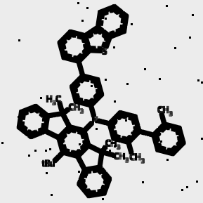 Cc1ccccc1-c1ccc(N(c2ccc(-c3cccc4c3sc3ccccc34)cc2)c2c3c(c(C(C)(C)C)c4c2C(C)(C)c2ccccc2-4)-c2ccccc2C3(C)C)cc1C